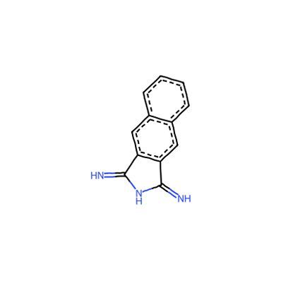 N=C1NC(=N)c2cc3ccccc3cc21